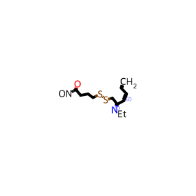 C=C/C=C\C(CSSCCCC(=O)N=O)=N/CC